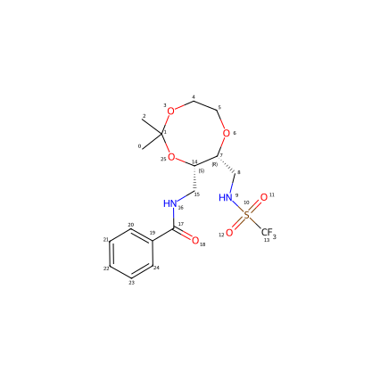 CC1(C)OCCO[C@H](CNS(=O)(=O)C(F)(F)F)[C@H](CNC(=O)c2ccccc2)O1